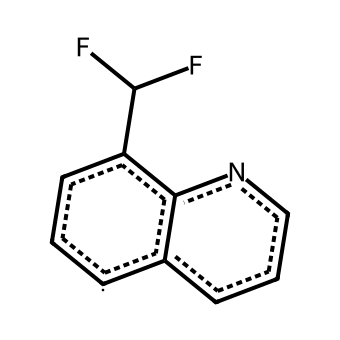 FC(F)c1cc[c]c2cccnc12